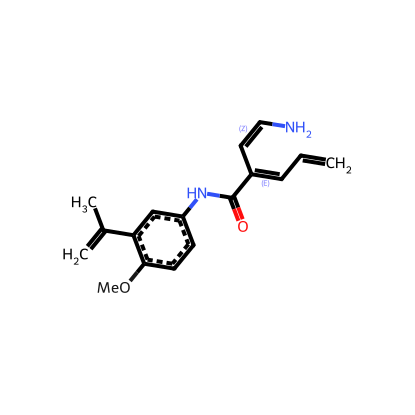 C=C/C=C(\C=C/N)C(=O)Nc1ccc(OC)c(C(=C)C)c1